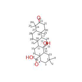 CC1(C)CCC2(C(=O)O)CC[C@]3(CO)C(=CCC4C5(C)CCC(=O)C(C)(C)C5CCC43C)C2C1